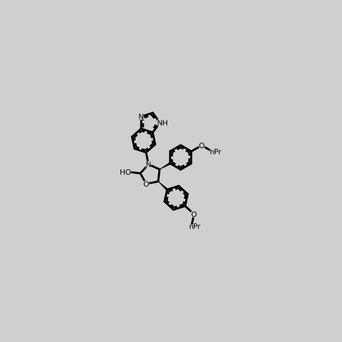 CCCOc1ccc([C@H]2OC(O)N(c3ccc4nc[nH]c4c3)[C@H]2c2ccc(OCCC)cc2)cc1